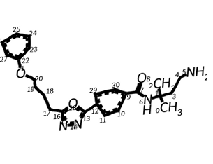 CC(C)(CCN)NC(=O)c1ccc(-c2nnc(CCCCOc3ccccc3)o2)cc1